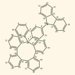 c1ccc([Si]2(c3ccc(-n4c5ccccc5c5ccccc54)cc3)c3ccccc3-c3ccccc3-c3ccccc3-c3ccccc32)cc1